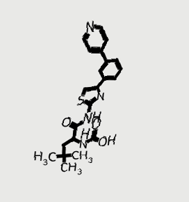 CC(C)(C)CC(NC(=O)O)C(=O)Nc1nc(-c2cccc(-c3ccncc3)c2)cs1